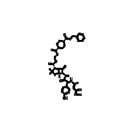 COC(=O)C=C(C)NC(C(=O)N[C@@H]1C(=O)N2[C@@H]1SC(C)(C)[C@@H]2C(=O)OCOC(=O)[C@H]1CC[C@H](C(=O)OCc2ccccc2)CC1)c1ccc(O)cc1